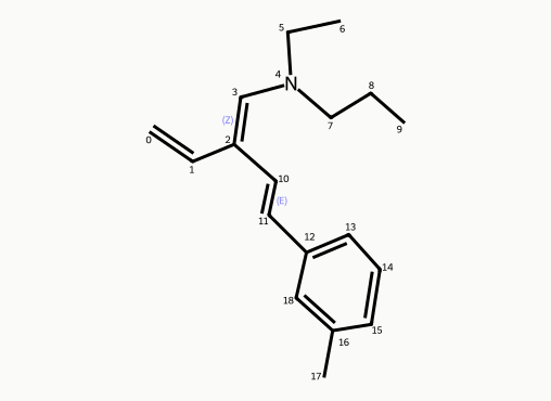 C=CC(=C/N(CC)CCC)/C=C/c1cccc(C)c1